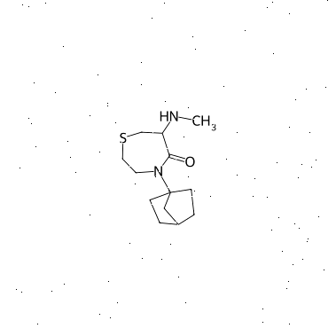 CNC1CSCCN(C23CCC(CC2)C3)C1=O